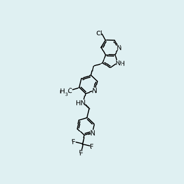 Cc1cc(Cc2c[nH]c3ncc(Cl)cc23)cnc1NCc1ccc(C(F)(F)F)nc1